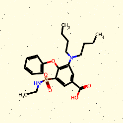 CCCCN(CCCC)c1cc(C(=O)O)cc(S(=O)(=O)NCC)c1Oc1ccccc1